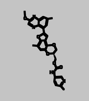 COc1cnc2c(-c3cc4c5c(cc(C)c4o3)O[C@@H](COC(=O)Nc3ccc(C)nc3)CO5)cc(C)cc2n1